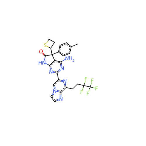 Cc1ccc(C2(C3CCS3)C(=O)Nc3nc(-c4cn5ccnc5c(CCC(F)(F)C(F)(F)F)n4)nc(N)c32)cc1